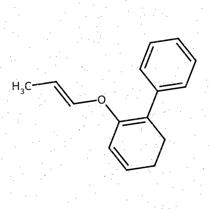 CC=COC1=C(c2ccccc2)CCC=C1